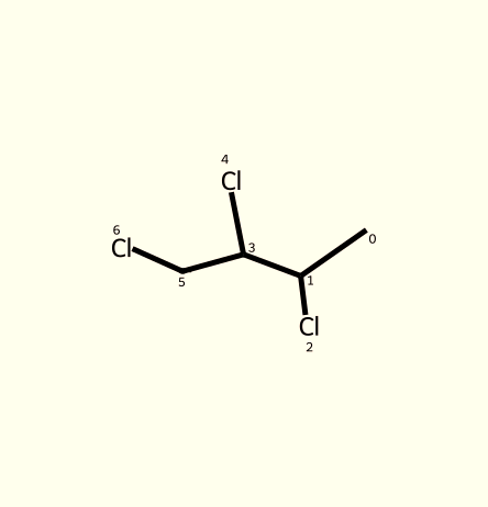 CC(Cl)C(Cl)[CH]Cl